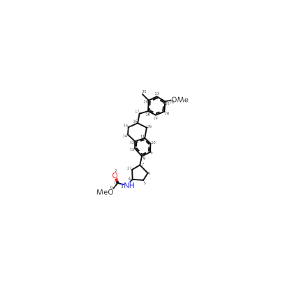 COC(=O)NC1CCC(c2ccc3c(c2)CCC(Cc2ccc(OC)cc2C)C3)C1